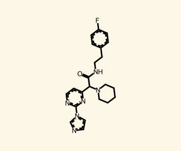 O=C(NCCc1ccc(F)cc1)C(c1ccnc(-n2ccnc2)n1)N1CCCCC1